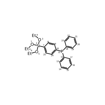 CCO[Si](OCC)(OCC)c1ccc(P(c2ccccc2)c2ccccc2)cc1